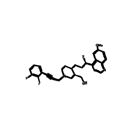 COc1ccc2nccc([C@H](F)CC[C@@H]3CCN(CC#Cc4cccc(F)c4F)C[C@@H]3CO)c2c1